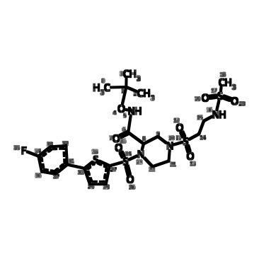 CC(C)(C)ONC(=O)C1CN(S(=O)(=O)CCNS(C)(=O)=O)CCN1S(=O)(=O)c1ccc(-c2ccc(F)cc2)s1